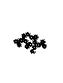 c1ccc(-c2ccc(-n3c4ccc(-n5c6ccccc6c6ccccc65)cc4c4cc(-n5c6ccccc6c6cc(-c7cccc(-c8cccc(-n9c%10ccc(-n%11c%12ccccc%12c%12ccccc%12%11)cc%10c%10cc(-n%11c%12ccccc%12c%12ccccc%12%11)ccc%109)c8)c7)ccc65)ccc43)cc2)cc1